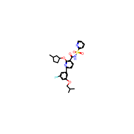 CC(C)COc1cc(F)cc(-c2ccc(C(=O)NS(=O)(=O)c3ccccn3)c(OC3CCC(C)C3)n2)c1